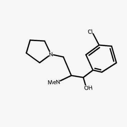 CNC(CN1CCCC1)C(O)c1cccc(Cl)c1